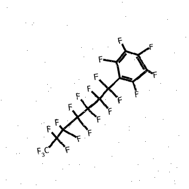 Fc1c(F)c(F)c(C(F)(F)C(F)(F)C(F)(F)C(F)(F)C(F)(F)C(F)(F)C(F)(F)F)c(F)c1F